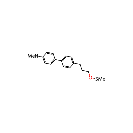 CNc1ccc(-c2ccc(CCCOSC)cc2)cc1